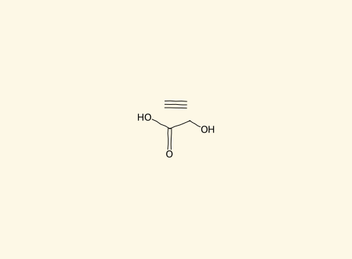 C#C.O=C(O)CO